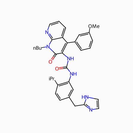 CCCCn1c(=O)c(NC(=O)Nc2cc(Cc3ncc[nH]3)ccc2C(C)C)c(-c2cccc(OC)c2)c2cccnc21